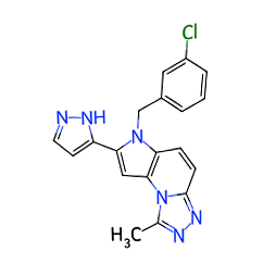 Cc1nnc2ccc3c(cc(-c4ccn[nH]4)n3Cc3cccc(Cl)c3)n12